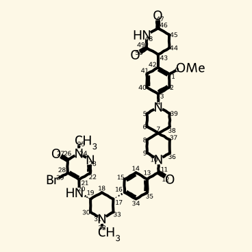 COc1cc(N2CCC3(CCN(C(=O)c4ccc([C@H]5C[C@@H](Nc6cnn(C)c(=O)c6Br)CN(C)C5)cc4)CC3)CC2)ccc1C1CCC(=O)NC1=O